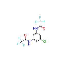 O=C(Nc1cc(Cl)cc(NC(=O)C(F)(F)F)c1)C(F)(F)F